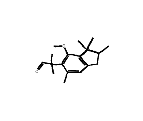 COc1c(C(C)(C)C=O)c(C)cc2c1C(C)(C)C(C)C2